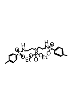 CCOP(=O)(OCC)N(CCNS(=O)(=O)c1ccc(C)cc1)CCNS(=O)(=O)c1ccc(C)cc1